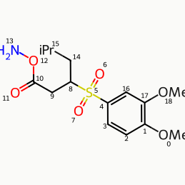 COc1ccc(S(=O)(=O)C(CC(=O)ON)CC(C)C)cc1OC